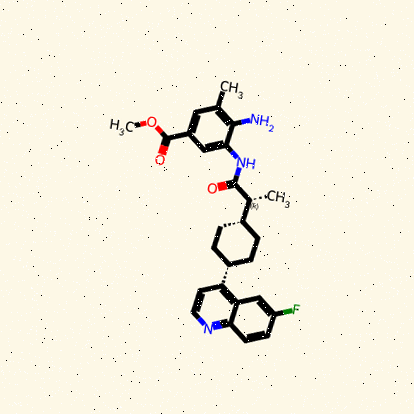 COC(=O)c1cc(C)c(N)c(NC(=O)[C@H](C)[C@H]2CC[C@@H](c3ccnc4ccc(F)cc43)CC2)c1